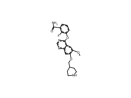 COc1cc2c(Oc3[c]ccc(C(N)=O)c3F)ncnc2cc1OCC1CCNCC1